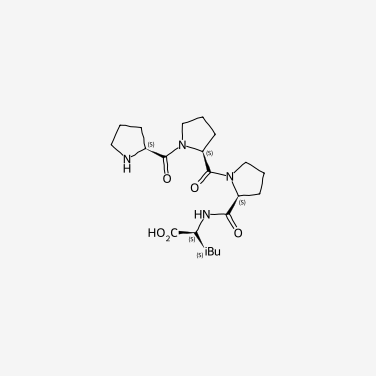 CC[C@H](C)[C@H](NC(=O)[C@@H]1CCCN1C(=O)[C@@H]1CCCN1C(=O)[C@@H]1CCCN1)C(=O)O